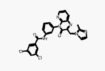 Cc1nccn1Cc1nc2cccnc2n(-c2cccc(NC(=O)c3cc(Cl)cc(Cl)c3)c2)c1=O